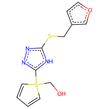 OCS1(c2nnc(SCc3ccoc3)[nH]2)C=CC=C1